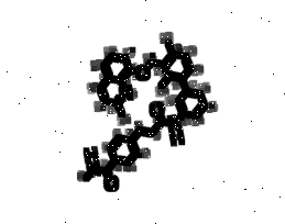 CNC(=O)c1ccc(C=CC(=O)Nc2cccc(-c3ccc(C)c(COc4cccc5ccc(C)nc45)c3C)c2)cc1